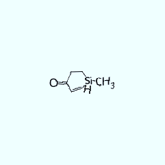 C[Si@H]1C=CC(=O)CC1